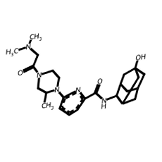 CC1CN(C(=O)CN(C)C)CCN1c1cccc(C(=O)NC2C3CC4CC2CC(O)(C4)C3)n1